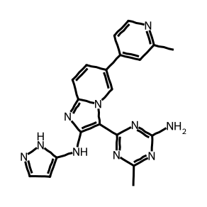 Cc1cc(-c2ccc3nc(Nc4ccn[nH]4)c(-c4nc(C)nc(N)n4)n3c2)ccn1